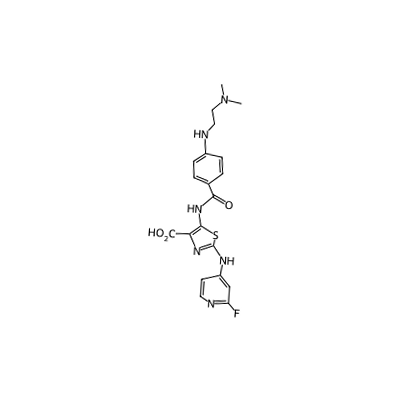 CN(C)CCNc1ccc(C(=O)Nc2sc(Nc3ccnc(F)c3)nc2C(=O)O)cc1